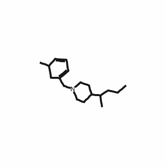 CCCC(C)C1CCN(CC2=CC=CC(C)C2)CC1